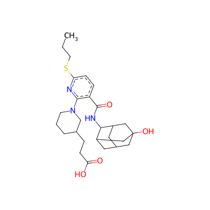 CCCSc1ccc(C(=O)NC2C3CC4CC2CC(O)(C4)C3)c(N2CCCC(CCC(=O)O)C2)n1